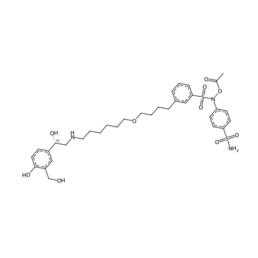 CC(=O)ON(c1ccc(S(N)(=O)=O)cc1)S(=O)(=O)c1cccc(CCCCOCCCCCCNC[C@@H](O)c2ccc(O)c(CO)c2)c1